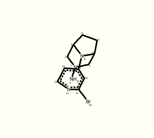 NN1CC2CCC(C1)N2c1ccnc(Br)c1